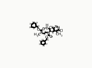 Cc1c(Cl)nnc(Cl)c1C[C@H](CO)N(CCN(C)C(=O)OCc1ccccc1)C(=O)OCc1ccccc1